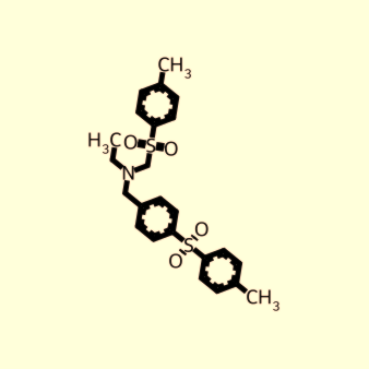 CCN(Cc1ccc(S(=O)(=O)c2ccc(C)cc2)cc1)CS(=O)(=O)c1ccc(C)cc1